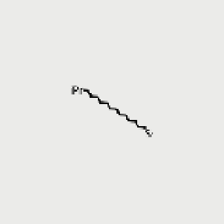 CC(C)CCCCCCCCCCCCC[S]